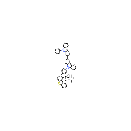 CC1(C)c2cc(-n3c4ccccc4c4cc(-c5ccc6c7ccccc7n(-c7ccccc7)c6c5)ccc43)ccc2-c2ccc3sc4ccccc4c3c21